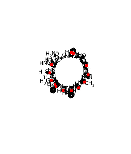 CCCC[C@H]1C(=O)N(C)[C@@H](CCCC)C(=O)N[C@@H](CCCNC(=N)N)C(=O)N[C@H](C(=O)NCC(N)=O)CSCC(=O)N[C@@H](Cc2ccccc2)C(=O)N(C)[C@@H](C)C(=O)N[C@@H](CC=O)C(=O)N2CCC[C@H]2C(=O)N[C@@H](Cc2cnc[nH]2)C(=O)N[C@@H](CC(C)C)C(=O)N[C@@H](CO)C(=O)N[C@@H](Cc2c[nH]c3ccccc23)C(=O)N[C@@H](CO)C(=O)N[C@@H](Cc2c[nH]c3ccccc23)C(=O)N1C